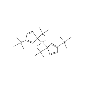 C[Si](C)(C)C1=C[C]([Si](C)(C)C)([Ti]([CH3])([CH3])[C]2([Si](C)(C)C)C=CC([Si](C)(C)C)=C2)C=C1